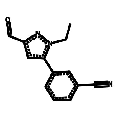 CCn1nc(C=O)cc1-c1cccc(C#N)c1